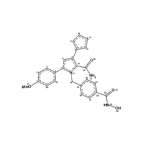 COc1ccc(-c2cc(-c3ccsc3)c(C(N)=O)n2Cc2ccc(C(=O)NO)cc2)cc1